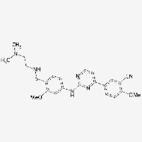 COc1ccc(-c2ccnc(Nc3ccc(SNCCN(C)C)c(OC)c3)n2)cc1C#N